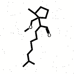 COCC1(C(C=O)CCCCCC(C)C)CCCC1C